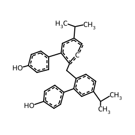 CC(C)c1ccc(Cc2ccc(C(C)C)cc2-c2ccc(O)cc2)c(-c2ccc(O)cc2)c1